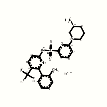 Cc1ccccc1-c1nc(NS(=O)(=O)c2cccc(N3CCC[C@H](N)C3)n2)ccc1C(F)(F)F.Cl